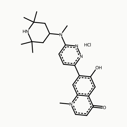 CN(c1ccc(-c2cc3c(cc2O)c(=O)ccn3C)nn1)C1CC(C)(C)NC(C)(C)C1.Cl